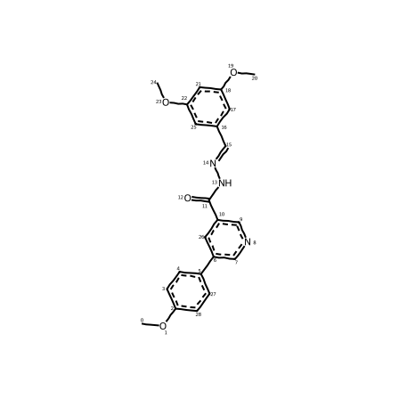 COc1ccc(-c2cncc(C(=O)NN=Cc3cc(OC)cc(OC)c3)c2)cc1